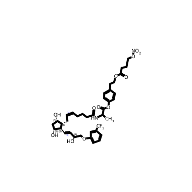 CC(NC(=O)CCC/C=C\C[C@@H]1[C@@H](/C=C/[C@@H](O)COc2cccc(C(F)(F)F)c2)[C@H](O)C[C@@H]1O)C(=O)Oc1ccc(CCOC(=O)CCCO[N+](=O)[O-])cc1